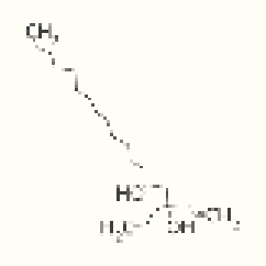 C=CCC(O)(CC=C)CC(O)CCCCCCCCCCCCC